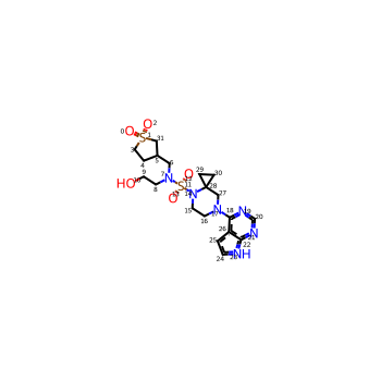 O=S1(=O)CCC(CN(CCO)S(=O)(=O)N2CCN(c3ncnc4[nH]ccc34)CC23CC3)C1